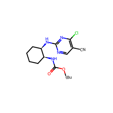 CC(C)(C)OC(=O)N[C@H]1CCCC[C@H]1Nc1ncc(C#N)c(Cl)n1